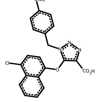 COc1ccc(Cn2nnc(C(=O)O)c2Oc2ccc(Cl)c3ccccc23)cc1